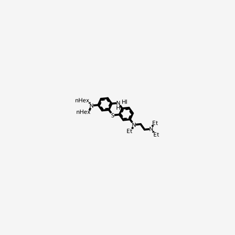 CCCCCCN(CCCCCC)c1ccc2c(c1)Sc1cc(N(CC)CCN(CC)CC)ccc1N2.I